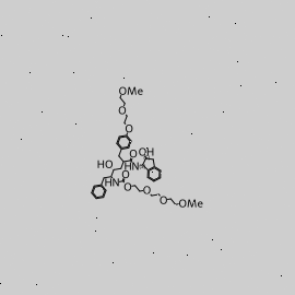 COCCOCCOCCOC(=O)NC(Cc1ccccc1)C(O)CC(Cc1ccc(OCCOCCOC)cc1)C(=O)N[C@H]1c2ccccc2C[C@@H]1O